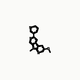 COc1cnc2c(c1)c1cc(-c3cccnc3)ncc1n2C